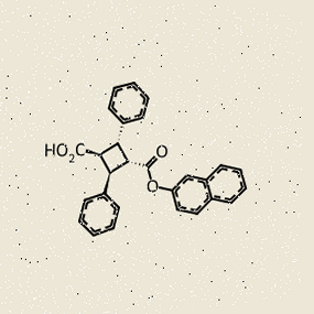 O=C(O)[C@H]1[C@H](c2ccccc2)[C@H](C(=O)Oc2ccc3ccccc3c2)[C@H]1c1ccccc1